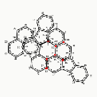 c1ccc(N(c2ccccc2-c2cccc3c2oc2ccccc23)c2cccc3ccccc23)c(-c2ccccc2-n2c3ccccc3c3ccccc32)c1